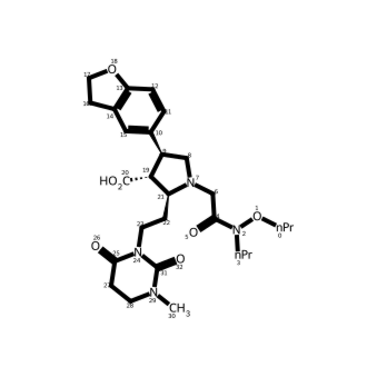 CCCON(CCC)C(=O)CN1C[C@H](c2ccc3c(c2)CCO3)[C@@H](C(=O)O)[C@@H]1CCN1C(=O)CCN(C)C1=O